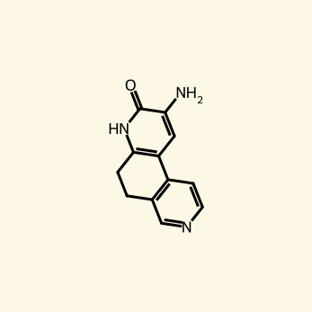 Nc1cc2c([nH]c1=O)CCc1cnccc1-2